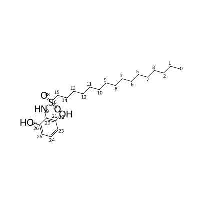 CCCCCCCCCCCCCCCCS(=O)(=O)Nc1c(O)cccc1O